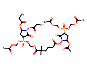 CCC(=O)OC1C[C@H](P(=O)(OCOC(=O)C(C)(C)C)OCOC(=O)C(C)(C)C)C(=O)N1OC(=O)CCCC(C)(C)C(=O)OCOP(=O)(OCOC(=O)C(C)(C)C)[C@H]1CC(OC(=O)CC(C)C)N(OC(=O)CC(C)C)C1=O